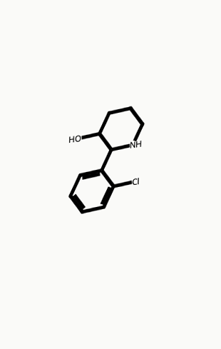 OC1CCCNC1c1ccccc1Cl